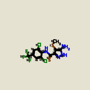 CSc1c(C(=S)Nc2c(Cl)cc(C(F)(F)F)cc2Cl)n[nH]c1N